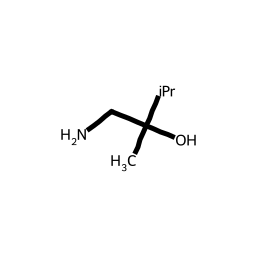 CC(C)C(C)(O)CN